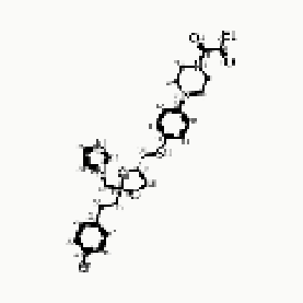 CCC(=O)C(=O)N1CCN(c2ccc(SC[C@@H]3CO[C@](CCc4ccc(Cl)cc4)(Cn4ccnc4)O3)cc2)CC1